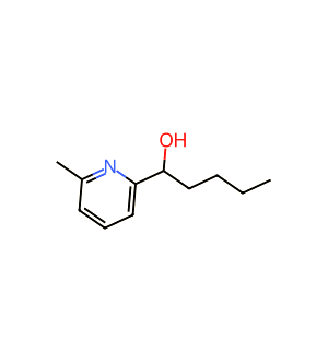 CCCCC(O)c1cccc(C)n1